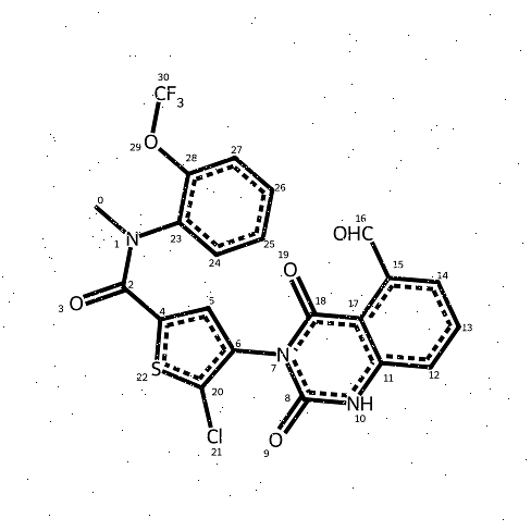 CN(C(=O)c1cc(-n2c(=O)[nH]c3cccc(C=O)c3c2=O)c(Cl)s1)c1ccccc1OC(F)(F)F